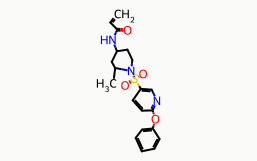 C=CC(=O)NC1CCN(S(=O)(=O)c2ccc(Oc3ccccc3)nc2)C(C)C1